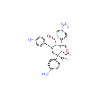 CC1C(C)(c2ccc(N)cc2)C=C(c2ccc(N)cc2)C(C=O)C1(C=O)c1ccc(N)cc1